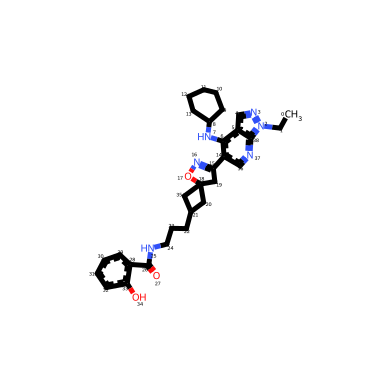 CCn1ncc2c(NC3CCCCC3)c(C3=NOC4(C3)CC(CCCNC(=O)c3ccccc3O)C4)cnc21